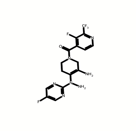 NC1=C(N(N)c2ncc(F)cn2)CCN(C(=O)c2ccnc(C(F)(F)F)c2F)C1